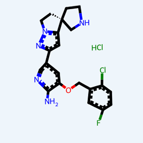 Cl.Nc1ncc(-c2cc3n(n2)CC[C@@]32CCNC2)cc1OCc1cc(F)ccc1Cl